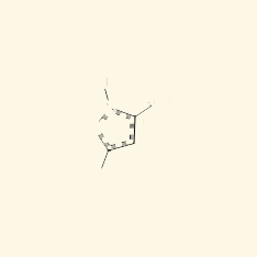 Cc1cc(C)[n+](C(C)(C)C)o1